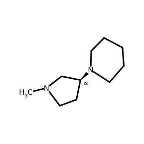 CN1CC[C@H](N2CCCCC2)C1